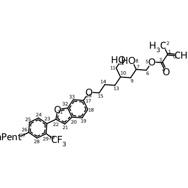 C=C(C)C(=O)OCC(O)CC(CO)CCCOc1ccc2cc(-c3ccc(CCCCC)cc3C(F)(F)F)oc2c1